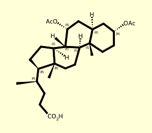 CC(=O)O[C@@H]1CC[C@@]2(C)[C@H](C1)C[C@@H](OC(C)=O)[C@@H]1[C@@H]2CC[C@]2(C)[C@@H]([C@H](C)CCC(=O)O)CC[C@@H]12